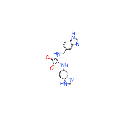 O=c1c(NCc2ccc3[nH]cnc3c2)c(Nc2ccc3[nH]cnc3c2)c1=O